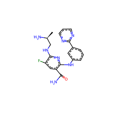 C[C@H](N)CNc1nc(Nc2cccc(-c3ncccn3)c2)c(C(N)=O)cc1F